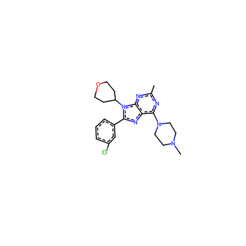 Cc1nc(N2CCN(C)CC2)c2nc(-c3cccc(Cl)c3)n(C3CCOCC3)c2n1